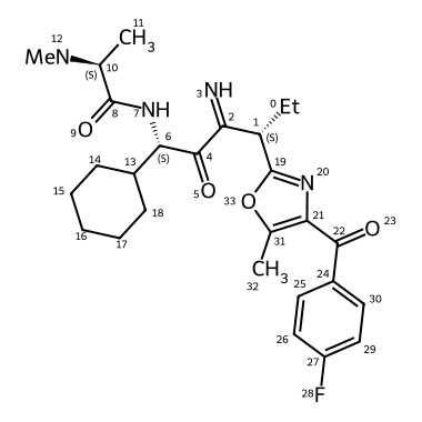 CC[C@@H](C(=N)C(=O)[C@@H](NC(=O)[C@H](C)NC)C1CCCCC1)c1nc(C(=O)c2ccc(F)cc2)c(C)o1